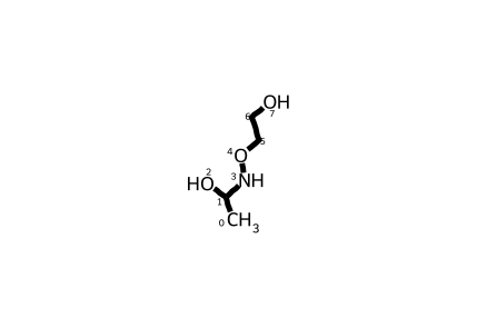 CC(O)NOCCO